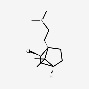 CN(C)CC[C@@]12CC[C@@H](C[C@H]1Cl)C2(C)C